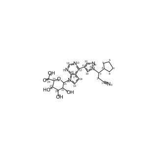 N#CCC(C1CCCC1)n1cc(-c2ncnc3c2ccn3C2OC(C(=O)O)C(O)C(O)C2O)cn1